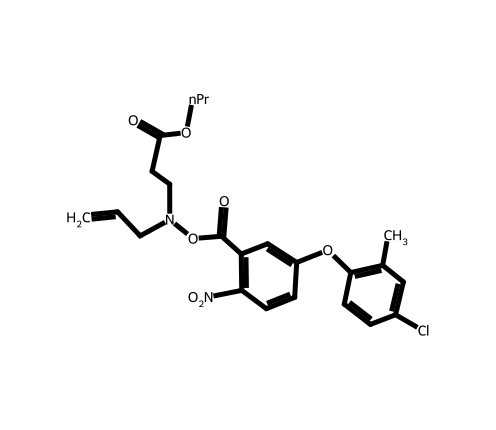 C=CCN(CCC(=O)OCCC)OC(=O)c1cc(Oc2ccc(Cl)cc2C)ccc1[N+](=O)[O-]